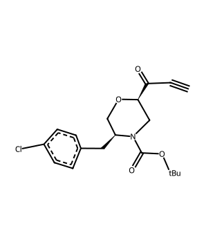 C#CC(=O)[C@H]1CN(C(=O)OC(C)(C)C)[C@@H](Cc2ccc(Cl)cc2)CO1